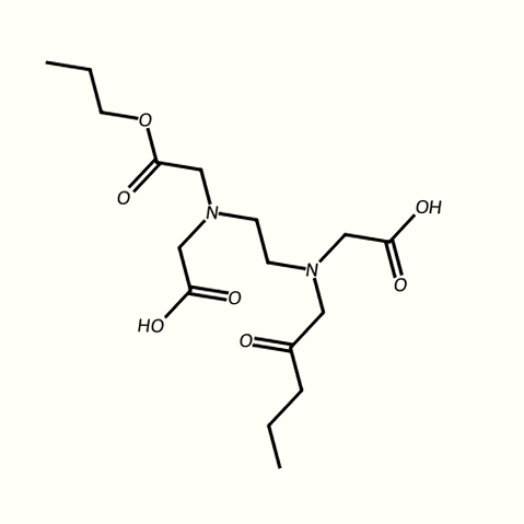 CCCOC(=O)CN(CCN(CC(=O)O)CC(=O)CCC)CC(=O)O